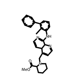 COC(=O)C1CCCCN1CC1=CC=NC2C(Nc3cccc(-c4ccccc4)c3C)=NC=CC12